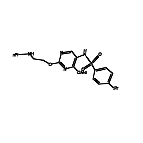 CCCNCCOc1ncc(NS(=O)(=O)c2ccc(C(C)C)cc2)c(OC)n1